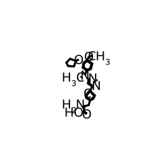 COc1ccc(N(C)c2cc(-c3ccc(C[C@H](N)C(=O)O)cc3)ncn2)cc1OC1CCCC1